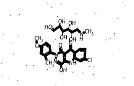 CNC[C@H](O)[C@@H](O)[C@H](O)[C@H](O)CO.COc1ccc(-n2nc(O)c3[nH]c4cc(Cl)ccc4c(=O)c3c2=O)c(C)c1